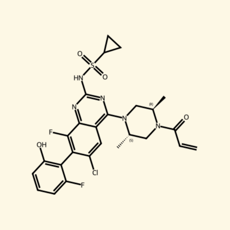 C=CC(=O)N1C[C@H](C)N(c2nc(NS(=O)(=O)C3CC3)nc3c(F)c(-c4c(O)cccc4F)c(Cl)cc23)C[C@H]1C